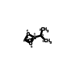 CC(C)[Si]12OC(O1)O2